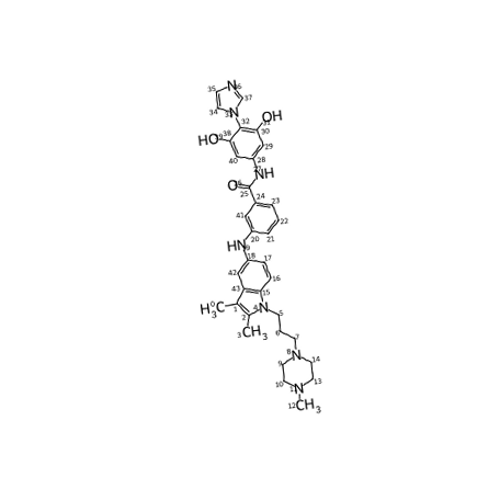 Cc1c(C)n(CCCN2CCN(C)CC2)c2ccc(Nc3cccc(C(=O)Nc4cc(O)c(-n5ccnc5)c(O)c4)c3)cc12